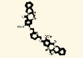 COc1cc2c(cc1OCc1cccc(COc3cc4c(cc3OC)C(=O)N3Cc5ccccc5C[C@H]3C(O)N4C)n1)NC[C@@H]1Cc3ccccc3CN1C2=O